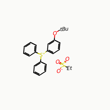 CC(C)(C)Oc1cccc([S+](c2ccccc2)c2ccccc2)c1.CCS(=O)(=O)[O-]